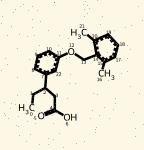 CCC(CC(=O)O)c1cccc(OCc2c(C)cccc2C)c1